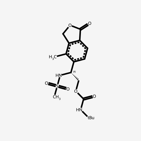 Cc1c([C@H](COC(=O)NC(C)(C)C)NS(C)(=O)=O)ccc2c1COC2=O